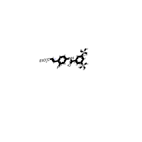 CCOC(=O)/C=C/c1ccc(NC(=O)c2cc([Si](C)(C)C)cc([Si](C)(C)C)c2)cc1F